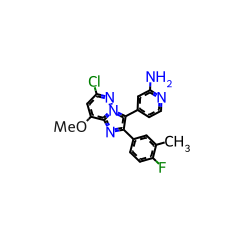 COc1cc(Cl)nn2c(-c3ccnc(N)c3)c(-c3ccc(F)c(C)c3)nc12